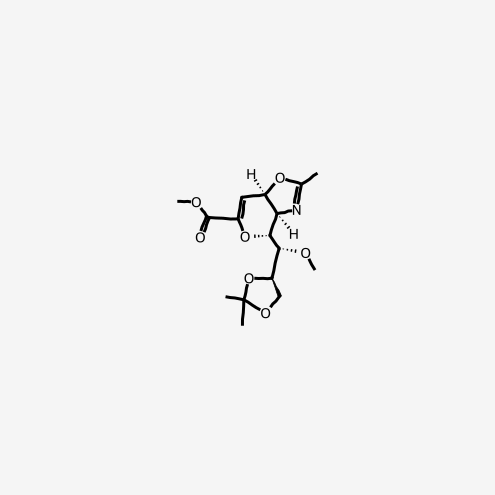 COC(=O)C1=C[C@H]2OC(C)=N[C@H]2[C@H]([C@H](OC)[C@H]2COC(C)(C)O2)O1